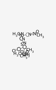 CC(=O)N1CC(N2CCC(c3nn(C)c4ccc(-c5nc6cc(C)c(C(OC(C)(C)C)C(=O)O)c(-c7ccc(Cl)cc7)c6s5)nc34)CC2)C1